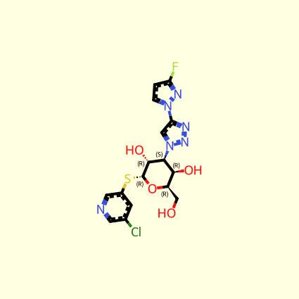 OC[C@H]1O[C@H](Sc2cncc(Cl)c2)[C@H](O)[C@@H](n2cc(-n3ccc(F)n3)nn2)[C@H]1O